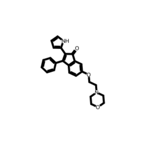 O=C1C(c2ccc[nH]2)=C(c2ccccc2)c2ccc(OCCN3CCOCC3)cc21